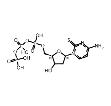 Nc1ccn([C@H]2CC(O)[C@@H](COP(=O)(O)OP(=O)(O)OP(=O)(O)O)O2)c(=S)n1